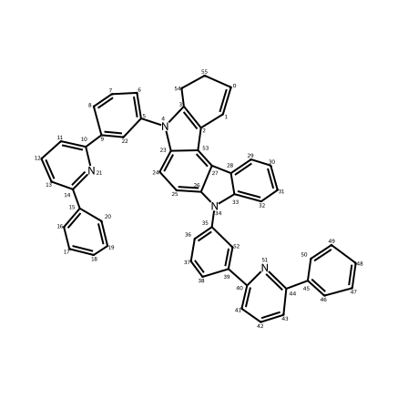 C1=Cc2c(n(-c3cccc(-c4cccc(-c5ccccc5)n4)c3)c3ccc4c(c5ccccc5n4-c4cccc(-c5cccc(-c6ccccc6)n5)c4)c23)CC1